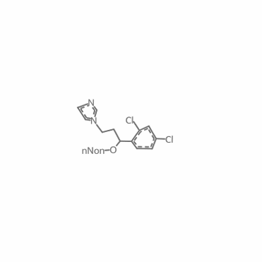 CCCCCCCCCOC(CCn1ccnc1)c1ccc(Cl)cc1Cl